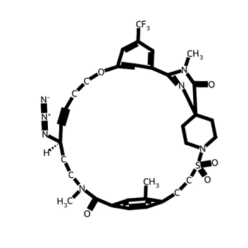 Cc1cc2ccc1CCS(=O)(=O)N1CCC3(CC1)N=C(c1cc(cc(C(F)(F)F)c1)OCCC#C[C@H](N=[N+]=[N-])CCN(C)C2=O)N(C)C3=O